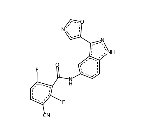 N#Cc1ccc(F)c(C(=O)Nc2ccc3[nH]nc(-c4cnco4)c3c2)c1F